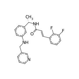 C[C@H](NC(=O)C=Cc1cccc(F)c1F)c1cccc(NCc2cccnc2)c1